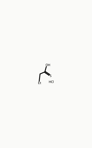 CCCC(O)=S.Cl